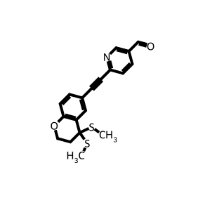 CSC1(SC)CCOc2ccc(C#Cc3ccc(C=O)cn3)cc21